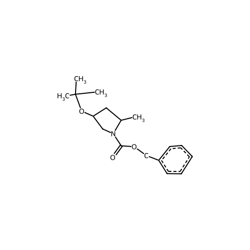 CC1CC(OC(C)(C)C)CN1C(=O)OCc1ccccc1